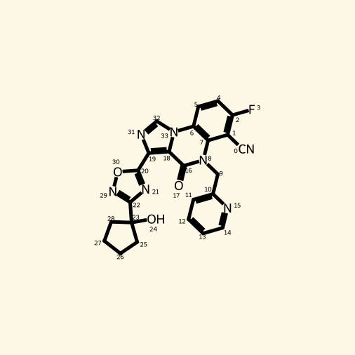 N#Cc1c(F)ccc2c1n(Cc1ccccn1)c(=O)c1c(-c3nc(C4(O)CCCC4)no3)ncn12